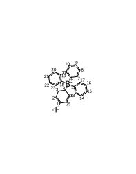 FC1=CCC([B-](c2ccccc2)(c2ccccc2)c2ccccc2)C=C1